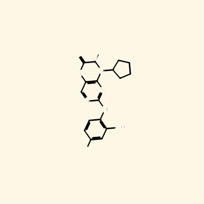 CC[C@@H]1C(=O)Nc2cnc(Nc3ccc(C(=O)O)cc3OC)nc2N1C1CCCC1